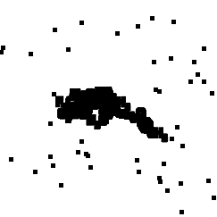 COc1c(C(=O)c2cccc([N+](=O)[O-])c2NC(=O)C(F)(F)F)ccc(C(=O)N(C)c2ccc(C)cc2OCCCCCC(=O)N2CCN(C)CC2)c1N